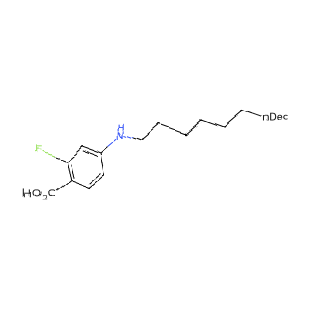 CCCCCCCCCCCCCCCCNc1ccc(C(=O)O)c(F)c1